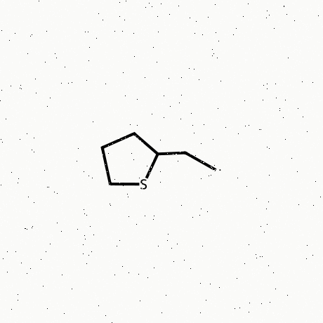 [CH2]CC1CCCS1